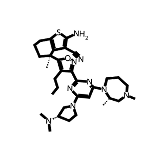 CCCc1c(-c2nc(N3CC[C@H](N(C)C)C3)cc(N3CCCN(C)C[C@@H]3C)n2)noc1[C@@]1(C)CCCc2sc(N)c(C#N)c21